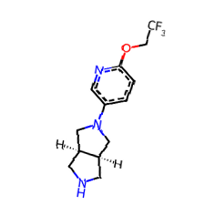 FC(F)(F)COc1ccc(N2C[C@H]3CNC[C@H]3C2)cn1